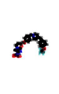 O=[N+]([O-])c1cn2c(n1)O[C@@H](COc1ccc(CN3CCC(Cc4ccc(OC(F)(F)F)cc4)CC3)cc1)CC2